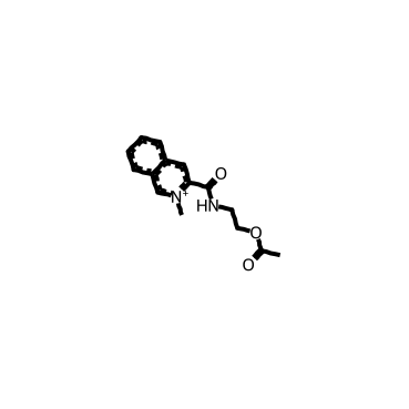 CC(=O)OCCNC(=O)c1cc2ccccc2c[n+]1C